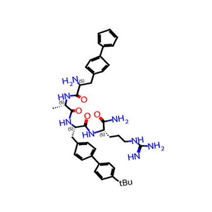 C[C@H](NC(=O)[C@@H](N)Cc1ccc(-c2ccccc2)cc1)C(=O)N[C@@H](Cc1ccc(-c2ccc(C(C)(C)C)cc2)cc1)C(=O)N[C@@H](CCCNC(=N)N)C(N)=O